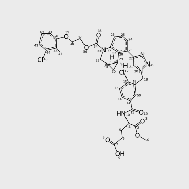 COC(=O)C(CCC(=O)O)NC(=O)c1ccc(Cl)c(Cn2cc(-c3cccc4c3[C@H]3C[C@H]3CN4C(=O)OCCOc3cccc(Cl)c3C)cn2)c1